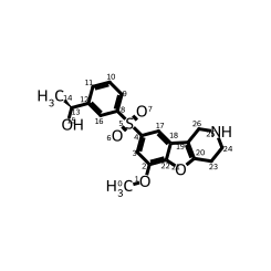 COc1cc(S(=O)(=O)c2cccc([C@H](C)O)c2)cc2c3c(oc12)CCNC3